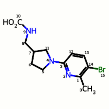 Cc1nc(N2CCC(CNC(=O)O)C2)ccc1Br